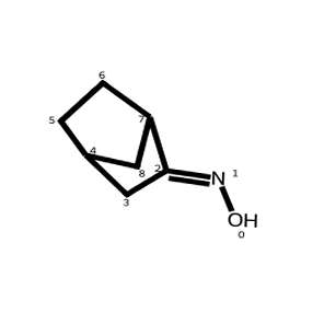 ON=C1CC2CCC1C2